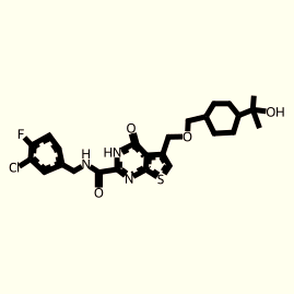 CC(C)(O)C1CCC(COCc2csc3nc(C(=O)NCc4ccc(F)c(Cl)c4)[nH]c(=O)c23)CC1